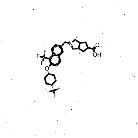 O=C(O)C1CC2CN(Cc3ccc4c(C(F)(F)F)c(O[C@H]5CC[C@@H](C(F)(F)F)CC5)ccc4c3)CC2C1